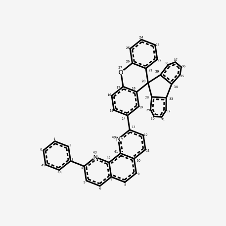 c1ccc(-c2ccc3ccc4ccc(-c5ccc6c(c5)C5(c7ccccc7O6)c6ccccc6-c6ccccc65)nc4c3n2)cc1